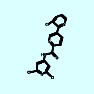 O=C(Nc1cc(Cl)nc(Cl)c1)c1ccc(-c2ncccc2Cl)cn1